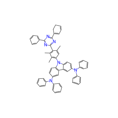 Cc1cc(-n2c3ccc(N(c4ccccc4)c4ccccc4)cc3c3cc(N(c4ccccc4)c4ccccc4)ccc32)c(C)c(C)c1-c1nc(C2=CC=CCC2)nc(-c2ccccc2)n1